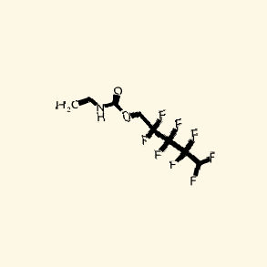 C=CNC(=O)OCC(F)(F)C(F)(F)C(F)(F)C(F)F